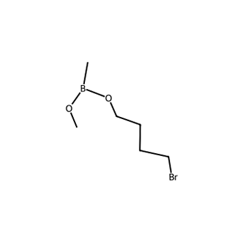 COB(C)OCCCCBr